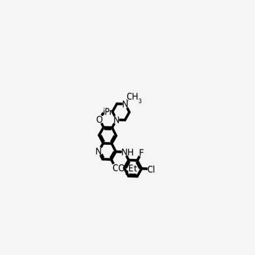 CCOC(=O)c1cnc2cc(OC(C)C)c(N3CCN(C)CC3)cc2c1Nc1cccc(Cl)c1F